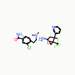 CN(C)[C@H](CNC(=O)CC(C)(c1cccnc1)C1(C(F)(F)F)CC1)Cc1ccc(C(N)=O)cc1Cl